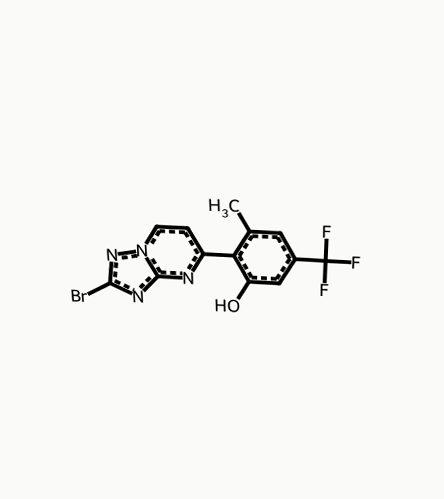 Cc1cc(C(F)(F)F)cc(O)c1-c1ccn2nc(Br)nc2n1